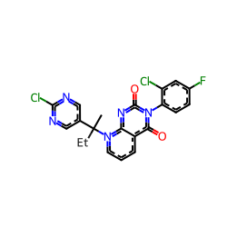 CCC(C)(c1cnc(Cl)nc1)n1cccc2c(=O)n(-c3ccc(F)cc3Cl)c(=O)nc1-2